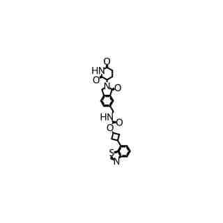 O=C1CCC(N2Cc3ccc(CNC(=O)OC4CC(c5cccc6ncsc56)C4)cc3C2=O)C(=O)N1